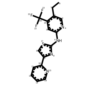 CCc1cnc(Nc2nc(-c3ccccn3)cs2)cc1C(F)(F)F